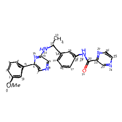 COc1cccc(-c2cncc(N[C@@H](C)c3cccc(NC(=O)c4cnccn4)c3)n2)c1